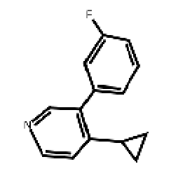 Fc1cccc(-c2cnccc2C2CC2)c1